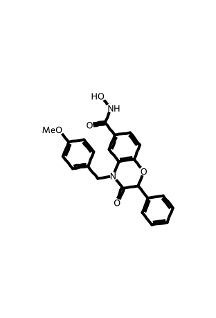 COc1ccc(CN2C(=O)C(c3ccccc3)Oc3ccc(C(=O)NO)cc32)cc1